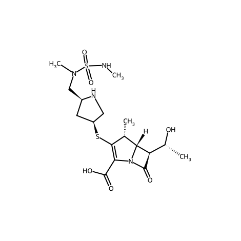 CNS(=O)(=O)N(C)C[C@@H]1C[C@H](SC2=C(C(=O)O)N3C(=O)[C@H]([C@@H](C)O)[C@H]3[C@H]2C)CN1